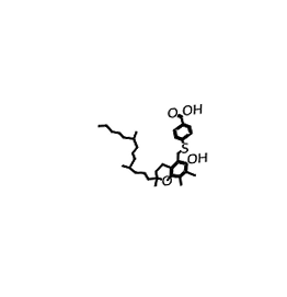 CCCCCC(C)CCCC(C)CCCC1(C)CCc2c(CSc3ccc(C(=O)O)cc3)c(O)c(C)c(C)c2O1